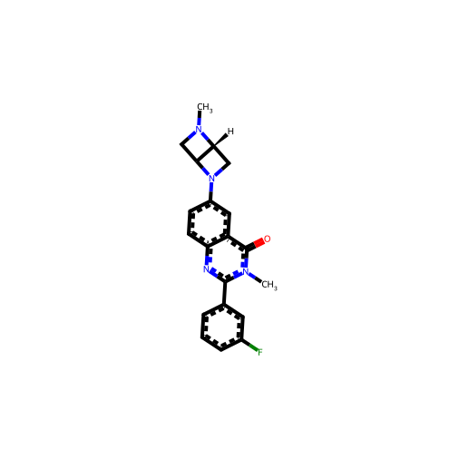 CN1CC2[C@H]1CN2c1ccc2nc(-c3cccc(F)c3)n(C)c(=O)c2c1